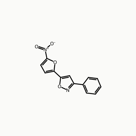 O=[N+]([O-])c1ccc(-c2cc(-c3ccccc3)no2)o1